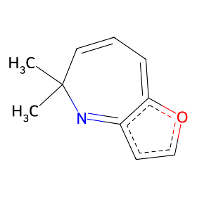 CC1(C)C=CC=c2occc2=N1